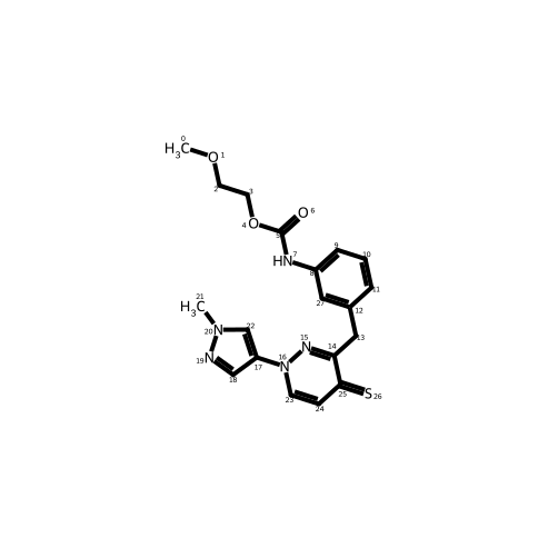 COCCOC(=O)Nc1cccc(Cc2nn(-c3cnn(C)c3)ccc2=S)c1